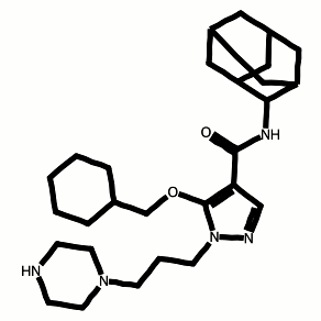 O=C(NC1C2CC3CC(C2)CC1C3)c1cnn(CCCN2CCNCC2)c1OCC1CCCCC1